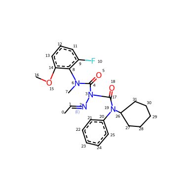 C/C=N/N(C(=O)N(C)c1c(F)cccc1OC)C(=O)N(c1ccccc1)C1CCCCC1